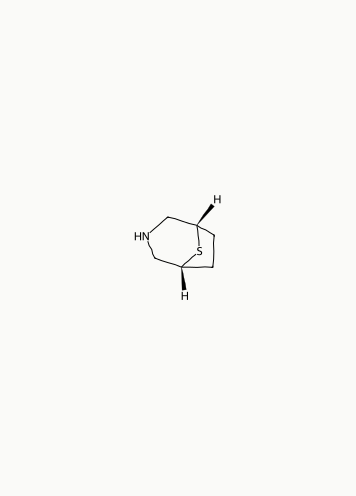 C1C[C@H]2CNC[C@@H]1S2